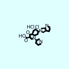 Cl.O=C(O)c1cn(-c2cccnc2)c2cc(N3Cc4cccnc4C3)c(Cl)cc2c1=O